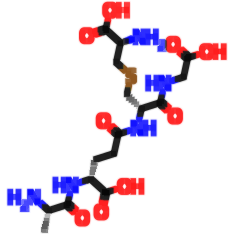 C[C@H](N)C(=O)N[C@H](CCC(=O)N[C@H](CSC[C@H](N)C(=O)O)C(=O)NCC(=O)O)C(=O)O